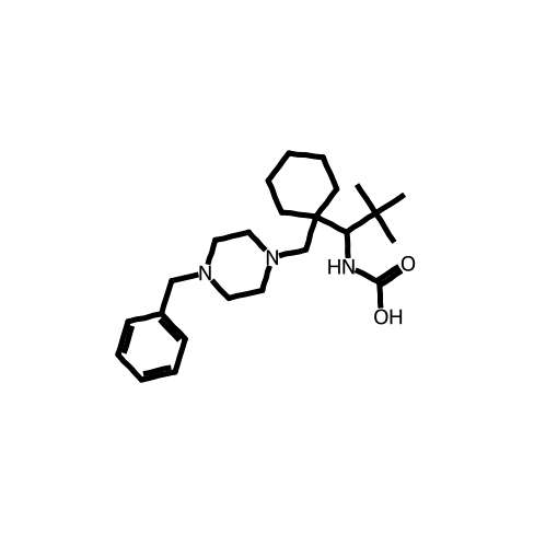 CC(C)(C)C(NC(=O)O)C1(CN2CCN(Cc3ccccc3)CC2)CCCCC1